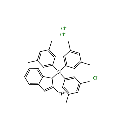 Cc1cc(C)cc([Si](c2cc(C)cc(C)c2)(c2cc(C)cc(C)c2)C2[C]([Ti+3])=Cc3ccccc32)c1.[Cl-].[Cl-].[Cl-]